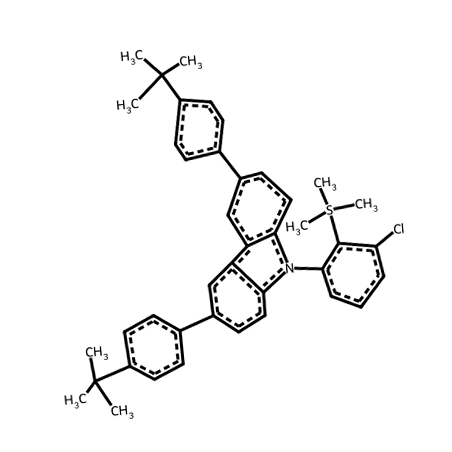 CC(C)(C)c1ccc(-c2ccc3c(c2)c2cc(-c4ccc(C(C)(C)C)cc4)ccc2n3-c2cccc(Cl)c2S(C)(C)C)cc1